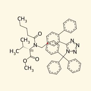 CCCCC(=O)N(Cc1ccc(-c2ccccc2)c(-c2nnnn2C(c2ccccc2)(c2ccccc2)c2ccccc2)c1)[C@H](C(=O)OC)C(C)C